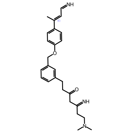 C/C(=C\C=N)c1ccc(OCc2cccc(CCC(=O)CC(=N)CCN(C)C)c2)cc1